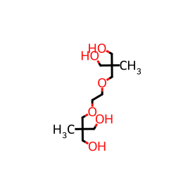 CC(CO)(CO)COCCOCC(C)(CO)CO